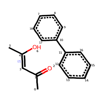 CC(=O)/C=C(/C)O.c1ccc(-c2ccccc2)cc1